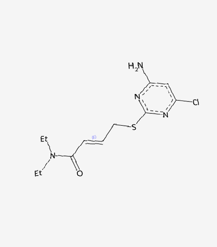 CCN(CC)C(=O)/C=C/CSc1nc(N)cc(Cl)n1